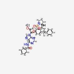 CCO[C@H]1C(O[P@@]2O[C@H](C[Si](C)(c3ccccc3)c3ccccc3)[C@@H]3CCCN32)O[C@H]1n1cnc2c(NC(=O)c3ccccc3)ncnc21